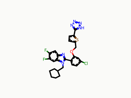 Fc1cc2nc(-c3ccc(Cl)cc3OCc3ccc(-c4nnn[nH]4)s3)n(CC3CCCCC3)c2cc1F